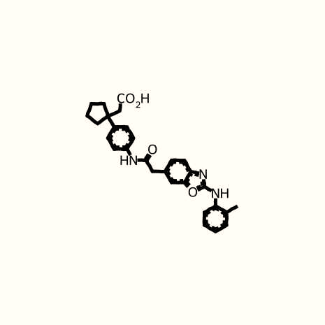 Cc1ccccc1Nc1nc2ccc(CC(=O)Nc3ccc(C4(CC(=O)O)CCCC4)cc3)cc2o1